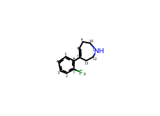 Fc1ccccc1C1=CCCNCC1